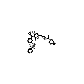 O=C(NCCCc1cc(O)c(C(c2cccc(NS(=O)(=O)c3ccccc3)c2)C2CC2)c(=O)o1)N1CCNCC1